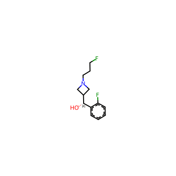 O[C@@H](c1ccccc1F)C1CN(CCCF)C1